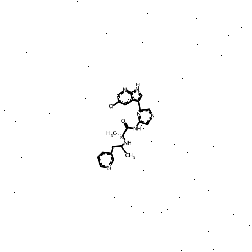 CC(Cc1cccnc1)N[C@H](C)C(=O)Nc1cncc(-c2c[nH]c3ncc(Cl)cc23)n1